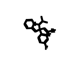 CC(C)C1N2C=CC=CC2=CC1(C=C(Br)Br)c1ccc(F)cc1